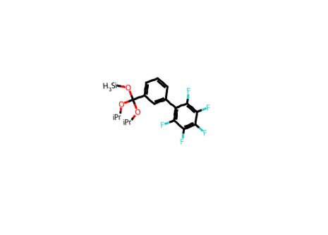 CC(C)OC(O[SiH3])(OC(C)C)c1cccc(-c2c(F)c(F)c(F)c(F)c2F)c1